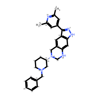 Cc1cc(-c2n[nH]c3cc4c(cc23)CN([C@H]2CCCN(Cc3ccccc3)C2)CN4)cc(C)n1